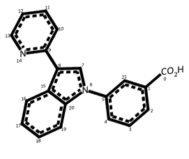 O=C(O)c1cccc(-n2cc(-c3ccccn3)c3ccccc32)c1